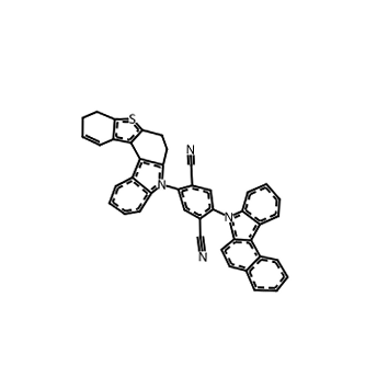 N#Cc1cc(-n2c3ccccc3c3c4ccccc4ccc32)c(C#N)cc1-n1c2c(c3ccccc31)-c1c(sc3c1C=CCC3)CC2